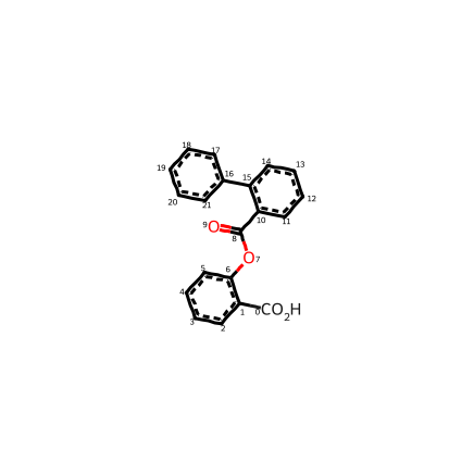 O=C(O)c1ccccc1OC(=O)c1ccccc1-c1ccccc1